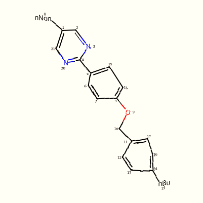 CCCCCCCCCc1cnc(-c2ccc(OCc3ccc(CCCC)cc3)cc2)nc1